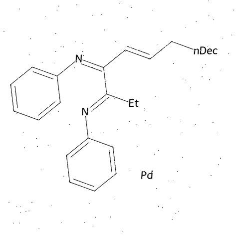 CCCCCCCCCCCC=CC(=Nc1ccccc1)C(CC)=Nc1ccccc1.[Pd]